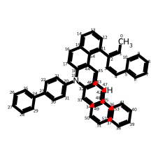 C/C=C(/C=C\c1ccccc1)c1cccc2ccc(N(c3ccc(-c4ccccc4)cc3)c3ccc(-c4ccccc4)cc3)c(/C=C/Nc3ccccc3)c12